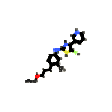 CCCCCOCCCc1ccc(Nc2nc(-c3cccnc3)c(F)s2)cc1C(F)(F)F